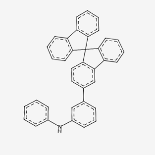 c1ccc(Nc2cccc(-c3ccc4c(c3)-c3ccccc3C43c4ccccc4-c4ccccc43)c2)cc1